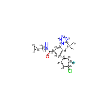 CC(C)(C)c1nnnn1-c1cc(C(=O)NC(C)(C)C2CC2)cc(-c2ccc(Cl)c(F)c2)c1